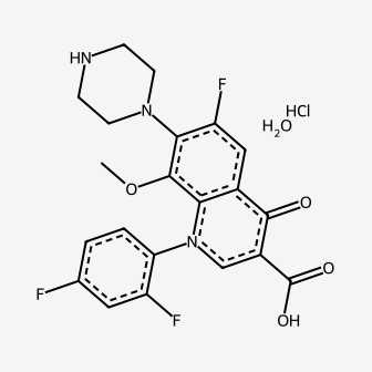 COc1c(N2CCNCC2)c(F)cc2c(=O)c(C(=O)O)cn(-c3ccc(F)cc3F)c12.Cl.O